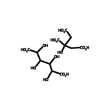 O=C(O)C(O)C(O)C(O)C(O)C(=O)O.O=C(O)CC(O)(CC(=O)O)C(=O)O